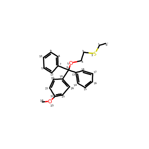 [CH2]CSCCOC(c1ccccc1)(c1ccccc1)c1ccc(OC)cc1